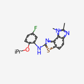 Cc1nc2ccc3sc(Nc4cc(F)ccc4OC(C)C)nc3c2n1C